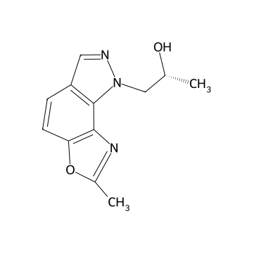 Cc1nc2c(ccc3cnn(C[C@@H](C)O)c32)o1